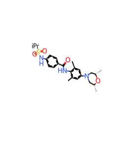 Cc1cc(N2C[C@@H](C)O[C@@H](C)C2)cc(C)c1NC(=O)c1ccc(NS(=O)(=O)C(C)C)cc1